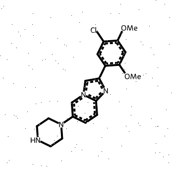 COc1cc(OC)c(-c2cn3cc(N4CCNCC4)ccc3n2)cc1Cl